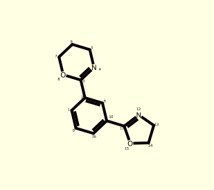 c1cc(C2=NCCCO2)cc(C2=NCCO2)c1